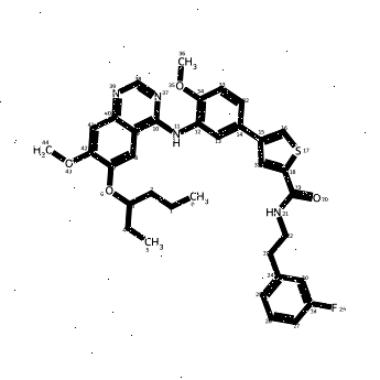 CCCC(CC)Oc1cc2c(Nc3cc(-c4csc(C(=O)NCCc5cccc(F)c5)c4)ccc3OC)ncnc2cc1OC